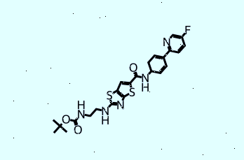 CC(C)(C)OC(=O)NCCNc1nc2sc(C(=O)NC3C=CC(c4ccc(F)cn4)=CC3)cc2s1